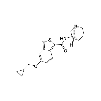 O=C(N[C@@H]1CN2CCC1CC2)c1snc2cc(OCC3CC3)ccc12